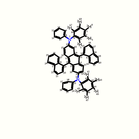 [2H]c1c([2H])c([2H])c(N(c2ccccc2)c2ccc3c(-c4cccc5ccccc45)c4cc(N(c5ccccc5)c5c([2H])c([2H])c([2H])c([2H])c5[2H])ccc4c(-c4cccc5ccccc45)c3c2)c([2H])c1[2H]